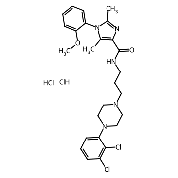 COc1ccccc1-n1c(C)nc(C(=O)NCCCN2CCN(c3cccc(Cl)c3Cl)CC2)c1C.Cl.Cl